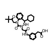 CC(C)(C)C(=O)CN1C(=O)N(CC(=O)Nc2cccc(CC(=O)O)c2)NC(C2CCCCC2)c2ccccc21